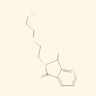 COCCOCCN1C(=O)c2cccnc2C1C